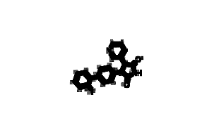 O=C1NC(=O)C(c2cccnc2)C1c1ccc(-c2ccccc2F)cc1